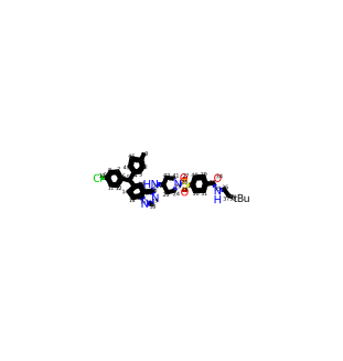 Cc1ccc(C(c2ccc(Cl)cc2)c2ccc3ncnc(NC4CCN(S(=O)(=O)c5ccc(C(=O)NCCC(C)(C)C)cc5)CC4)c3c2)cc1